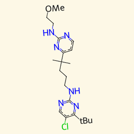 COCCNc1nccc(C(C)(C)CCCNc2ncc(Cl)c(C(C)(C)C)n2)n1